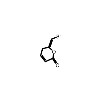 O=C1C=CCC(=CBr)O1